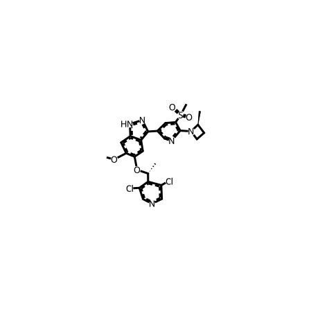 COc1cc2[nH]nc(-c3cnc(N4CC[C@@H]4C)c(S(C)(=O)=O)c3)c2cc1O[C@H](C)c1c(Cl)cncc1Cl